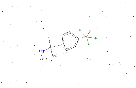 CC(C)C(C)(NC=O)c1ccc([SH](F)(F)(F)F)cc1